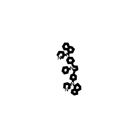 c1ccc(-n2c(-c3ccc(N(c4cccnc4)c4cccc5ccccc45)cc3)ccc2-c2ccc(N(c3cccnc3)c3cccc4ccccc34)cc2)cc1